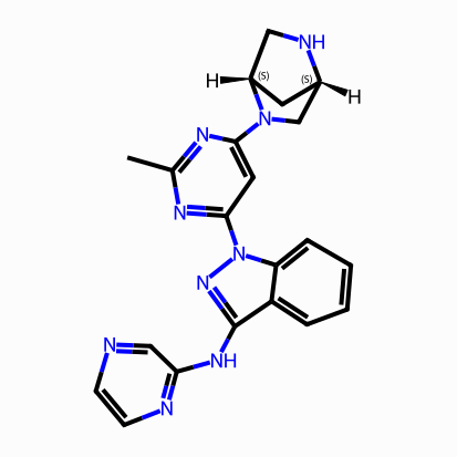 Cc1nc(N2C[C@@H]3C[C@H]2CN3)cc(-n2nc(Nc3cnccn3)c3ccccc32)n1